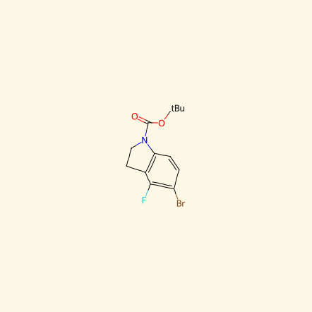 CC(C)(C)OC(=O)N1CCc2c1ccc(Br)c2F